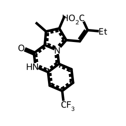 CCC(=Cc1c(C)c(C)c2c(=O)[nH]c3cc(C(F)(F)F)ccc3n12)C(=O)O